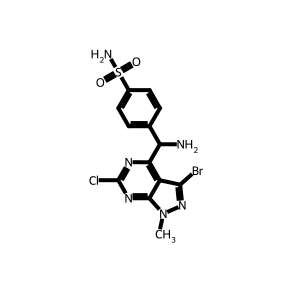 Cn1nc(Br)c2c(C(N)c3ccc(S(N)(=O)=O)cc3)nc(Cl)nc21